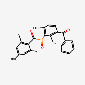 CCc1ccc(C(=O)c2ccccc2)c(CC)c1[PH](=O)C(=O)c1c(C)cc(C(C)(C)C)cc1C